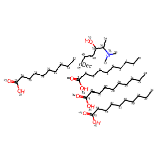 CCCCCCCCCC(=O)O.CCCCCCCCCC(=O)O.CCCCCCCCCC(=O)O.CCCCCCCCCC(=O)O.CCCCCCCCCCCCC(O)C(C)N(C)C